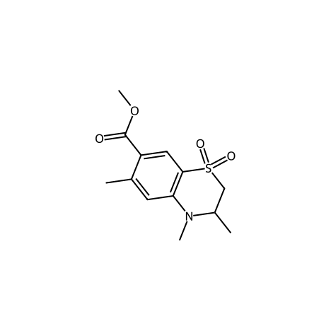 COC(=O)c1cc2c(cc1C)N(C)C(C)CS2(=O)=O